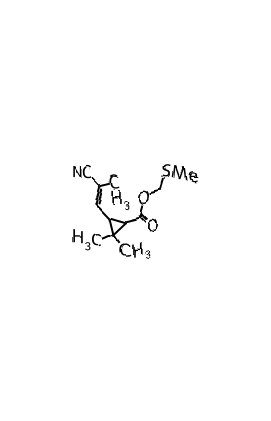 CSCOC(=O)C1C(C=C(C)C#N)C1(C)C